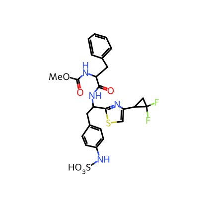 COC(=O)NC(Cc1ccccc1)C(=O)NC(Cc1ccc(NS(=O)(=O)O)cc1)c1nc(C2CC2(F)F)cs1